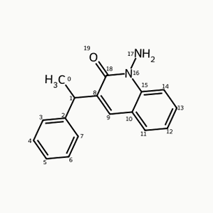 CC(c1ccccc1)c1cc2ccccc2n(N)c1=O